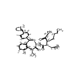 C=CCC[C@H](C(N)=O)[C@@H](CC(C)C)C(=O)N[C@H]1N=C(c2ccc(Cl)cc2)c2ccccc2N(C)C1=O